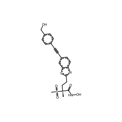 C[C@@](CCc1nc2ccc(C#Cc3ccc(CO)cc3)cc2s1)(C(=O)NO)S(C)(=O)=O